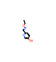 CCO/N=C/c1ccc(O)cn1